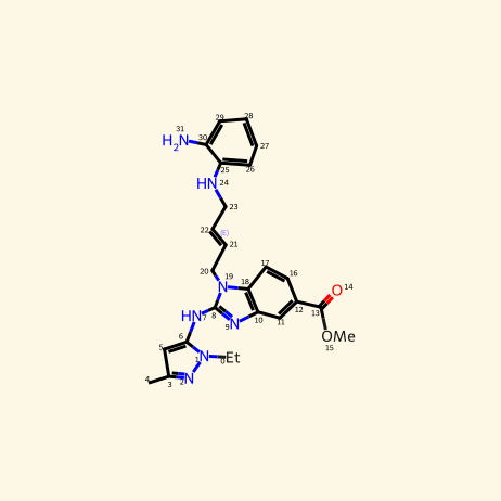 CCn1nc(C)cc1Nc1nc2cc(C(=O)OC)ccc2n1C/C=C/CNc1ccccc1N